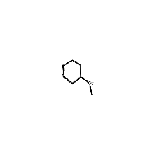 [CH3][Ge][CH]1CCCCC1